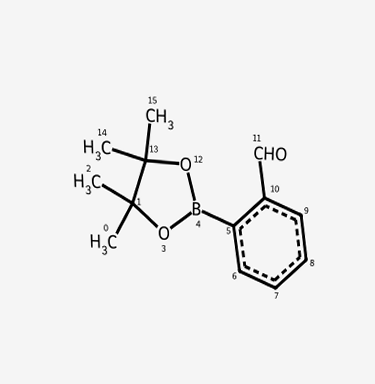 CC1(C)OB(c2ccccc2C=O)OC1(C)C